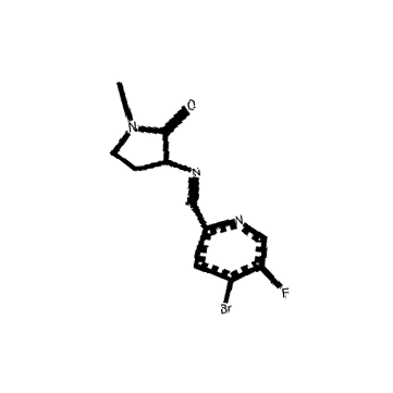 CN1CCC(N=Cc2cc(Br)c(F)cn2)C1=O